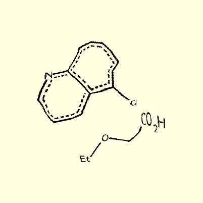 CCOCC(=O)O.Clc1cccc2ncccc12